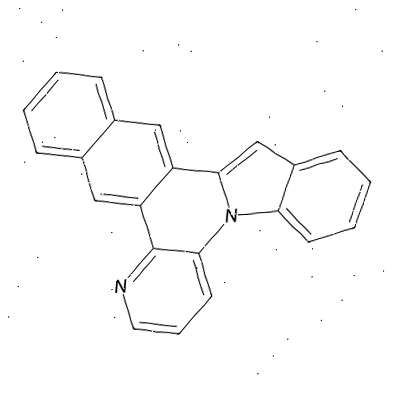 c1ccc2cc3c(cc2c1)c1ncccc1n1c2ccccc2cc31